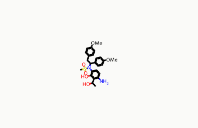 COc1ccc(CC(c2ccc(OC)cc2)N(c2ccc(N)c(C(C)O)c2O)S(C)(=O)=O)cc1